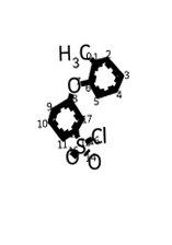 Cc1ccccc1Oc1cccc(S(=O)(=O)Cl)c1